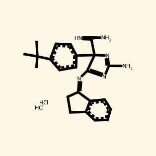 CC(C)(C)c1ccc(C2(C(=N)N)N=C(N)N=C2N=C2CCc3ccccc32)cc1.Cl.Cl